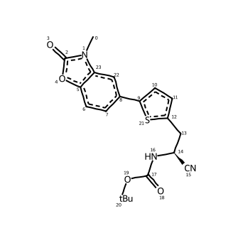 Cn1c(=O)oc2ccc(-c3ccc(C[C@@H](C#N)NC(=O)OC(C)(C)C)s3)cc21